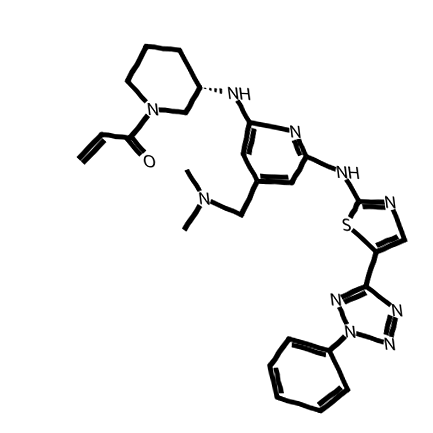 C=CC(=O)N1CCC[C@H](Nc2cc(CN(C)C)cc(Nc3ncc(-c4nnn(-c5ccccc5)n4)s3)n2)C1